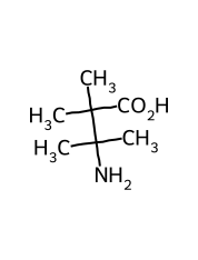 CC(C)(N)C(C)(C)C(=O)O